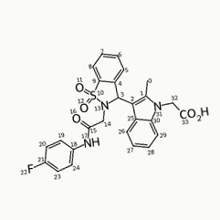 Cc1c(C2c3ccccc3S(=O)(=O)N2CC(=O)Nc2ccc(F)cc2)c2ccccc2n1CC(=O)O